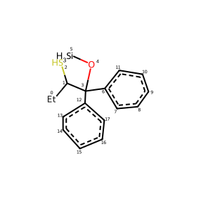 CCC(S)C(O[SiH3])(c1ccccc1)c1ccccc1